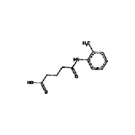 Cc1ccccc1NC(=O)CCCC(=O)O